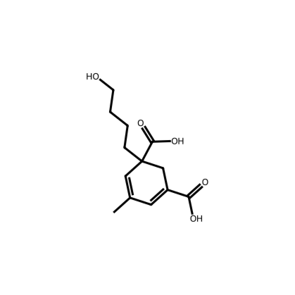 CC1=CC(CCCCO)(C(=O)O)CC(C(=O)O)=C1